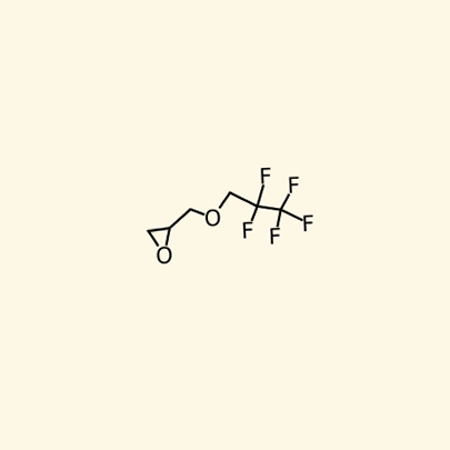 FC(F)(F)C(F)(F)COCC1CO1